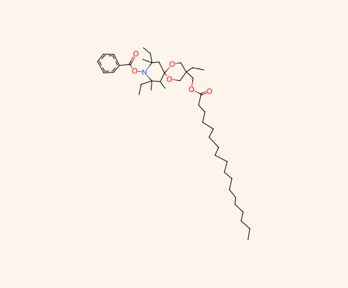 CCCCCCCCCCCCCCCCCC(=O)OCC1(CC)COC2(CC(C)(CC)N(OC(=O)c3ccccc3)C(C)(CC)C2C)OC1